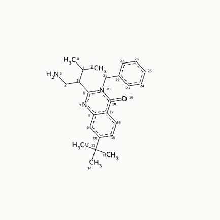 CC(C)C(CN)c1nc2cc(C(C)(C)C)ccc2c(=O)n1Cc1ccccc1